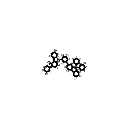 c1ccc(C2(c3ccccc3)c3ccccc3-c3ccc(-c4cccc(-n5c6ccccc6c6c7sc8ccccc8c7ccc65)c4)cc32)cc1